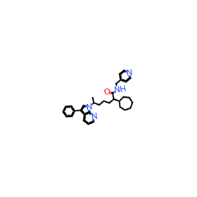 CC(CCCC(C(=O)NCc1ccncc1)C1CCCCCC1)n1cc(-c2ccccc2)c2cccnc21